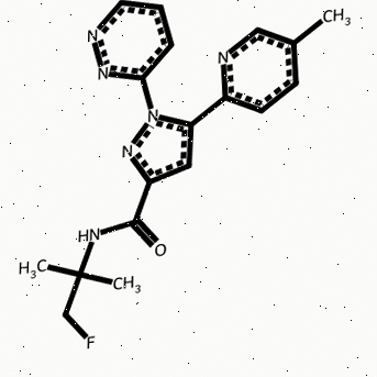 Cc1ccc(-c2cc(C(=O)NC(C)(C)CF)nn2-c2cccnn2)nc1